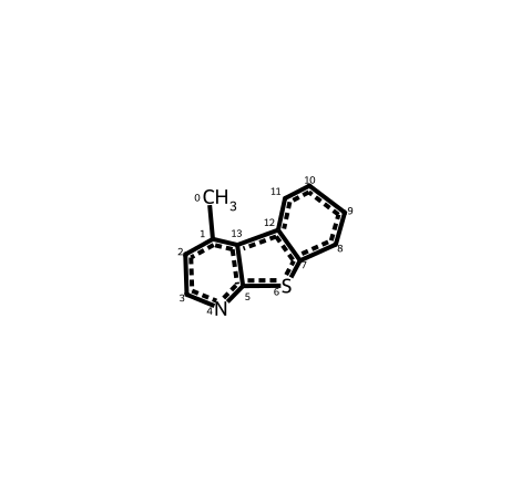 Cc1ccnc2sc3ccccc3c12